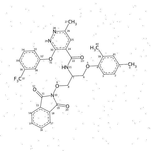 Cc1ccc(OCC(CON2C(=O)c3ccccc3C2=O)NC(=O)c2cc(C)nnc2Oc2cccc(C(F)(F)F)c2)c(C)c1